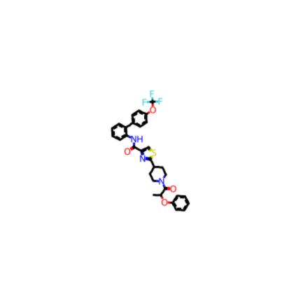 CC(Oc1ccccc1)C(=O)N1CCC(c2nc(C(=O)Nc3ccccc3-c3ccc(OC(F)(F)F)cc3)cs2)CC1